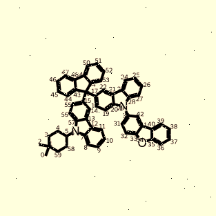 CC1(C)CCC(n2c3ccccc3c3cc(C4(c5ccc6c(c5)c5ccccc5n6-c5ccc6oc7ccccc7c6c5)c5ccccc5-c5ccccc54)ccc32)CC1